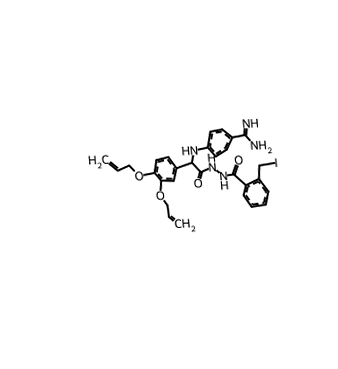 C=CCOc1ccc(C(Nc2ccc(C(=N)N)cc2)C(=O)NNC(=O)c2ccccc2CI)cc1OCC=C